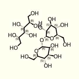 OC[C@@H](O)[C@@H](O)[C@H](O)[C@@H](O)CO.OC[C@H]1O[C@H](O[C@H]2O[C@H](CO)[C@@H](O)[C@H](O)[C@H]2O)[C@H](O)[C@@H](O)[C@@H]1O